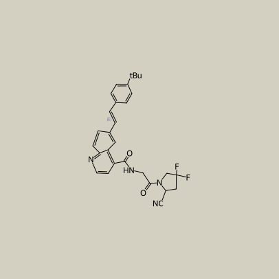 CC(C)(C)c1ccc(/C=C/c2ccc3nccc(C(=O)NCC(=O)N4CC(F)(F)CC4C#N)c3c2)cc1